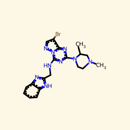 CC1CN(C)CCN1c1nc(NCc2nc3ccccc3[nH]2)n2ncc(Br)c2n1